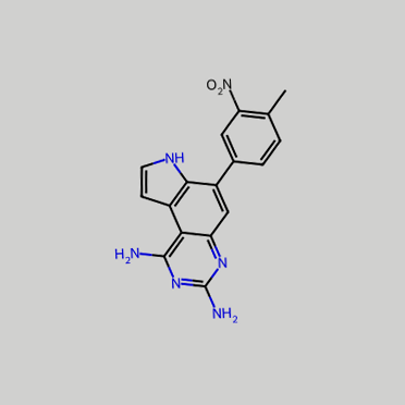 Cc1ccc(-c2cc3nc(N)nc(N)c3c3cc[nH]c23)cc1[N+](=O)[O-]